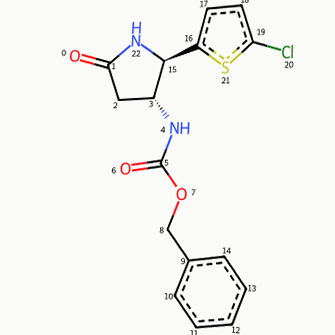 O=C1C[C@@H](NC(=O)OCc2ccccc2)[C@H](c2ccc(Cl)s2)N1